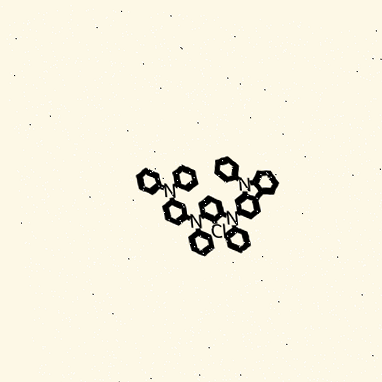 Clc1c(N(c2ccccc2)c2cccc(N(c3ccccc3)c3ccccc3)c2)cccc1N(c1ccccc1)c1ccc2c3ccccc3n(-c3ccccc3)c2c1